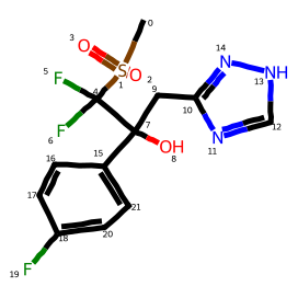 CS(=O)(=O)C(F)(F)C(O)(Cc1nc[nH]n1)c1ccc(F)cc1